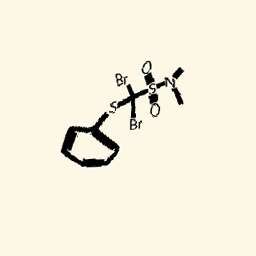 CN(C)S(=O)(=O)C(Br)(Br)Sc1ccccc1